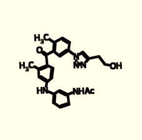 CC(=O)Nc1cccc(Nc2ccc(C(=O)c3cc(-n4cc(CCO)nn4)ccc3C)c(C)c2)c1